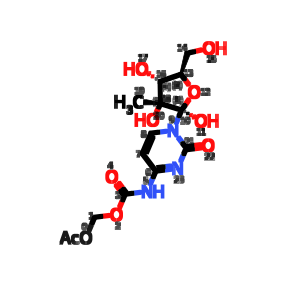 CC(=O)OCOC(=O)Nc1ccn([C@]2(O)O[C@H](CO)[C@@H](O)[C@@]2(C)O)c(=O)n1